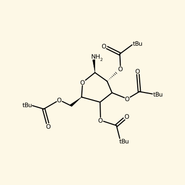 CC(C)(C)C(=O)OC[C@H]1O[C@@H](N)[C@H](OC(=O)C(C)(C)C)C(OC(=O)C(C)(C)C)C1OC(=O)C(C)(C)C